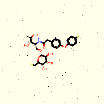 CC[C@@H](O)[C@@H](O)[C@H](CO[C@H]1OC(CF)[C@@H](O)[C@H](O)C1O)NC(=O)Cc1ccc(Oc2ccc(F)cc2)cc1